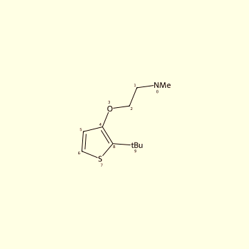 CNCCOc1ccsc1C(C)(C)C